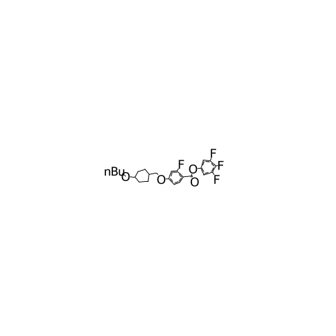 CCCCOC1CCC(COc2ccc(C(=O)Oc3cc(F)c(F)c(F)c3)c(F)c2)CC1